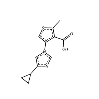 Cc1scc(-n2cnc(C3CC3)c2)c1C(=O)O